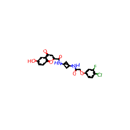 O=C(COc1ccc(Cl)c(F)c1)NC12CC(NC(=O)c3cc(=O)c4cc(O)ccc4o3)(C1)C2